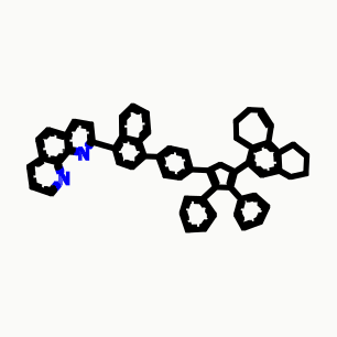 C1=Cc2c3c(cc(C4=C(c5ccccc5)C(c5ccccc5)=C(c5ccc(-c6ccc(-c7ccc8ccc9cccnc9c8n7)c7ccccc67)cc5)C4)c2CCC1)CCCC3